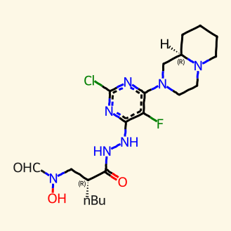 CCCC[C@H](CN(O)C=O)C(=O)NNc1nc(Cl)nc(N2CCN3CCCC[C@@H]3C2)c1F